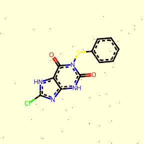 O=c1[nH]c2nc(Cl)[nH]c2c(=O)n1Sc1ccccc1